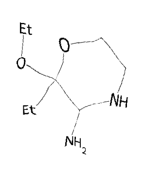 CCOC1(CC)OCCNC1N